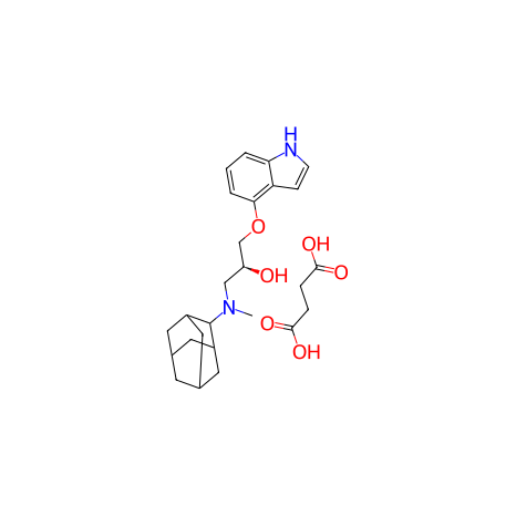 CN(C[C@H](O)COc1cccc2[nH]ccc12)C1C2CC3CC(C2)CC1C3.O=C(O)CCC(=O)O